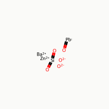 O=[Si]=O.[Ba+2].[O-2].[O-2].[O]=[Pb].[Zn+2]